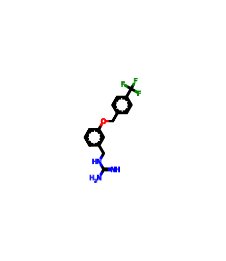 N=C(N)NCc1cccc(OCc2ccc(C(F)(F)F)cc2)c1